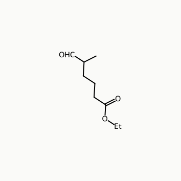 CCOC(=O)CCCC(C)C=O